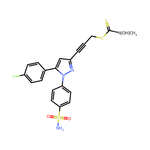 CN(O)C(=S)SCC#Cc1cc(-c2ccc(F)cc2)n(-c2ccc(S(N)(=O)=O)cc2)n1